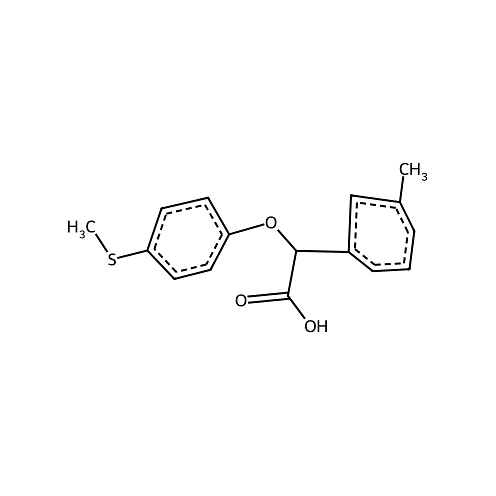 CSc1ccc(OC(C(=O)O)c2cccc(C)c2)cc1